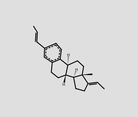 CC=Cc1ccc2c(c1)CC[C@@H]1[C@@H]2CC[C@]2(C)C(=CC)CC[C@@H]12